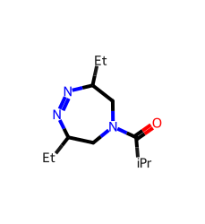 CCC1CN(C(=O)C(C)C)CC(CC)N=N1